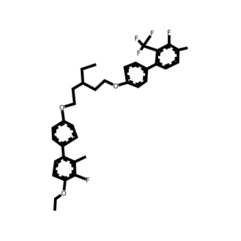 CCOc1ccc(-c2ccc(OCCC(CC)CCOc3ccc(-c4ccc(C)c(F)c4C(F)(F)F)cc3)cc2)c(C)c1F